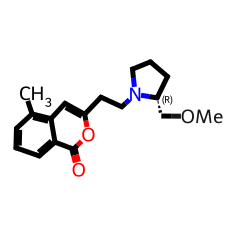 COC[C@H]1CCCN1CCc1cc2c(C)cccc2c(=O)o1